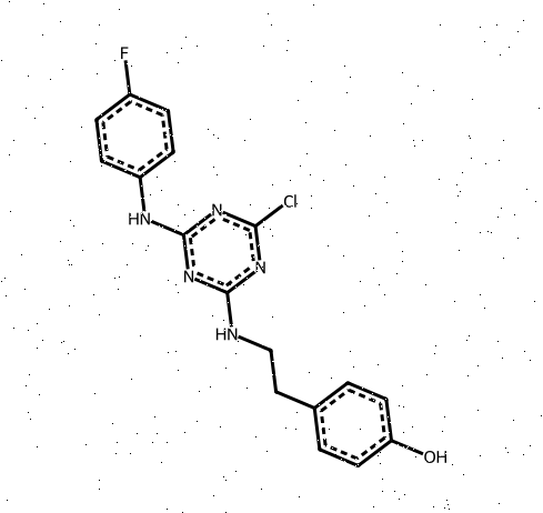 Oc1ccc(CCNc2nc(Cl)nc(Nc3ccc(F)cc3)n2)cc1